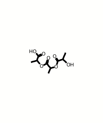 CC(O)C(=O)OC(C)C(=O)OC(C)C(=O)O